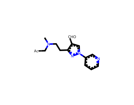 CC(=O)CN(C)CCc1nn(-c2cccnc2)cc1C=O